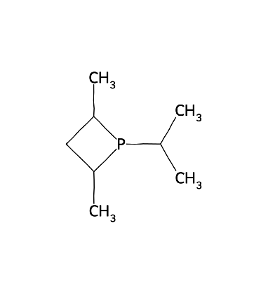 CC(C)P1C(C)CC1C